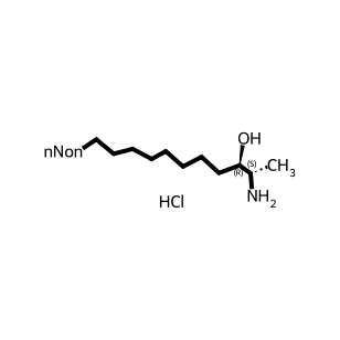 CCCCCCCCCCCCCCCCC[C@@H](O)[C@H](C)N.Cl